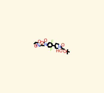 CC(C)(C)OC[C@H](O)C(=O)N1CC=C(c2c(F)cc(N3C[C@H](Cn4occc4=O)OC3=O)cc2F)CC1